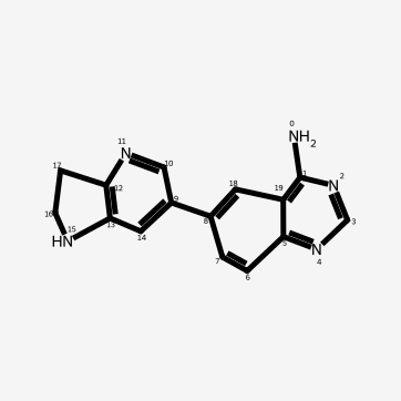 Nc1ncnc2ccc(-c3cnc4c(c3)NCC4)cc12